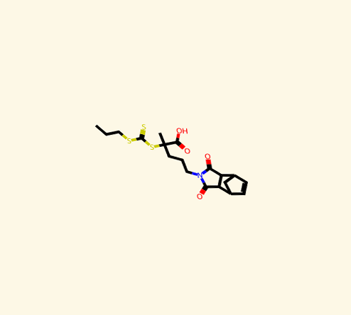 CCCSC(=S)SC(C)(CCCN1C(=O)C2C3C=CC(C3)C2C1=O)C(=O)O